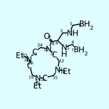 BCNCC(NCB)C(=O)N1CCN(CC)CCN(CC)CCN(CC)CC1